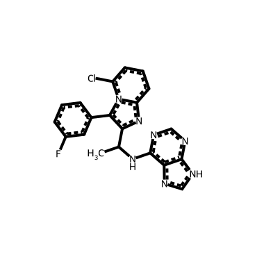 CC(Nc1ncnc2[nH]cnc12)c1nc2cccc(Cl)n2c1-c1cccc(F)c1